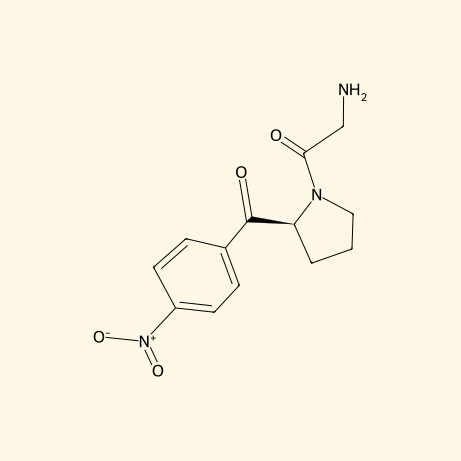 NCC(=O)N1CCC[C@H]1C(=O)c1ccc([N+](=O)[O-])cc1